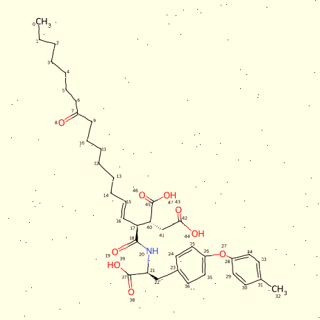 CCCCCCCC(=O)CCCCCC/C=C/[C@H](C(=O)N[C@@H](Cc1ccc(Oc2ccc(C)cc2)cc1)C(=O)O)[C@@H](CC(=O)O)C(=O)O